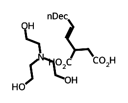 CCCCCCCCCCC=CC(CC(=O)O)C(=O)O.OCCN(CCO)CCO